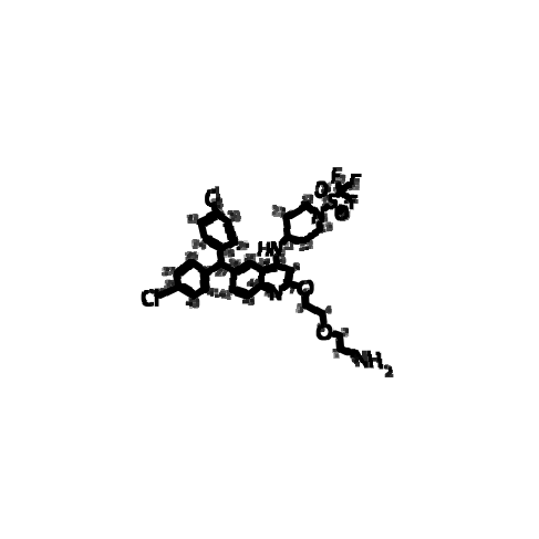 NCCOCCOc1cc(NC2CCN(S(=O)(=O)C(F)(F)F)CC2)c2cc(C(c3ccc(Cl)cc3)c3ccc(Cl)cc3)ccc2n1